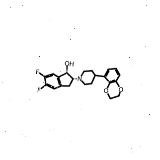 O[C@@H]1c2cc(F)c(F)cc2C[C@H]1N1CCC(c2cccc3c2OCCO3)CC1